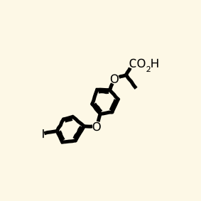 CC(Oc1ccc(Oc2ccc(I)cc2)cc1)C(=O)O